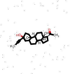 CC#CC1(O)CC[C@@]2(C)C(CC[C@H]3[C@@H]4CC[C@H](C(C)=O)[C@@]4(C)CC[C@@H]32)C1